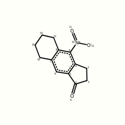 O=C1CCc2c1cc1c(c2[N+](=O)[O-])CCCC1